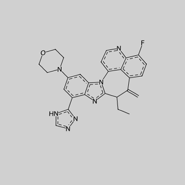 C=C1c2ccc(F)c3nccc(c23)-n2c(nc3c(-c4nnc[nH]4)cc(N4CCOCC4)cc32)C1CC